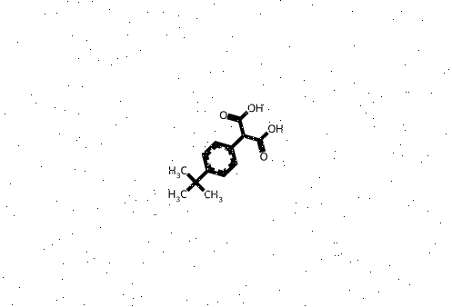 CC(C)(C)c1ccc(C(C(=O)O)C(=O)O)cc1